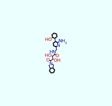 Nc1nc(CNC(=O)[C@H](O)[C@@H](O)C(=O)N2Cc3ccccc3C2)ccc1-c1ccccc1O